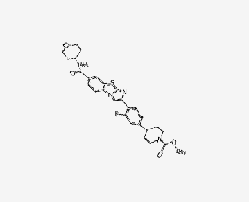 CC(C)(C)OC(=O)N1CCC(c2ccc(-c3cn4c(n3)sc3cc(C(=O)NC5CCOCC5)ccc34)c(F)c2)CC1